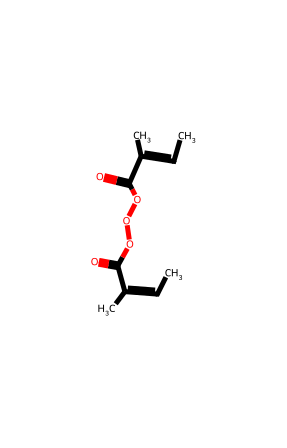 CC=C(C)C(=O)OOOC(=O)C(C)=CC